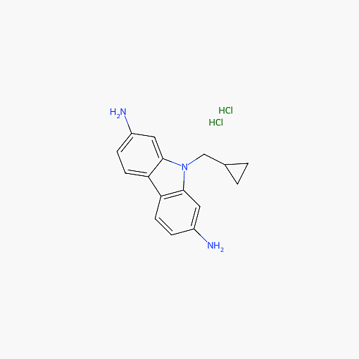 Cl.Cl.Nc1ccc2c3ccc(N)cc3n(CC3CC3)c2c1